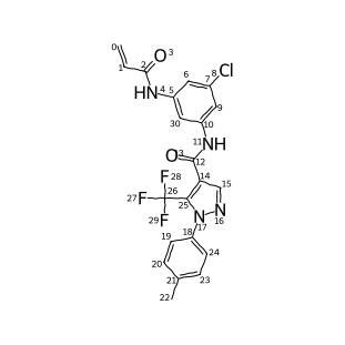 C=CC(=O)Nc1cc(Cl)cc(NC(=O)c2cnn(-c3ccc(C)cc3)c2C(F)(F)F)c1